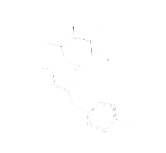 O=S(=O)(O)O/N=C(/Cc1ccc(O)cc1)S[C@@H]1OC(CO)[C@@H](O)C(O)[C@@H]1O